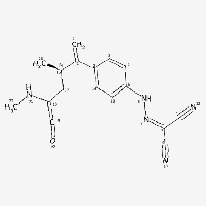 C=C(c1ccc(NN=C(C#N)C#N)cc1)[C@H](C)CC(=C=O)NC